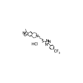 Cc1noc2cc3c(cc12)CCN(CCCSc1nnc(-c2ccc(C(F)(F)F)cc2)n1C)CC3.Cl